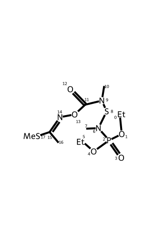 CCOP(=O)(OCC)N(C)SN(C)C(=O)ON=C(C)SC